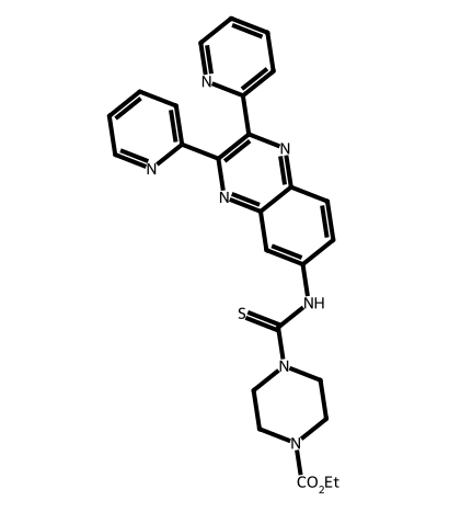 CCOC(=O)N1CCN(C(=S)Nc2ccc3nc(-c4ccccn4)c(-c4ccccn4)nc3c2)CC1